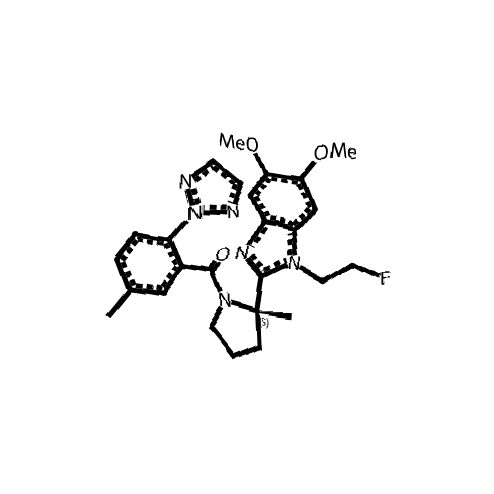 COc1cc2nc([C@]3(C)CCCN3C(=O)c3cc(C)ccc3-n3nccn3)n(CCF)c2cc1OC